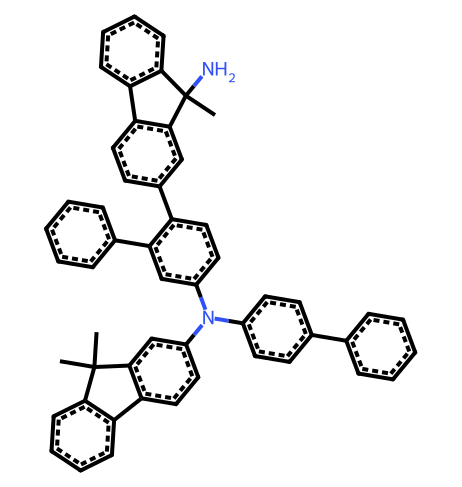 CC1(C)c2ccccc2-c2ccc(N(c3ccc(-c4ccccc4)cc3)c3ccc(-c4ccc5c(c4)C(C)(N)c4ccccc4-5)c(-c4ccccc4)c3)cc21